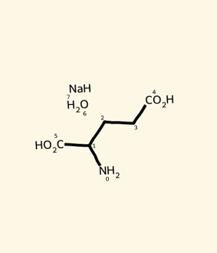 NC(CCC(=O)O)C(=O)O.O.[NaH]